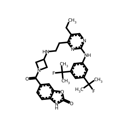 CCc1cnc(Nc2cc(C(C)(C)F)cc(C(C)(C)F)c2)nc1CCNC1CN(C(=O)c2ccc3[nH]c(=O)oc3c2)C1